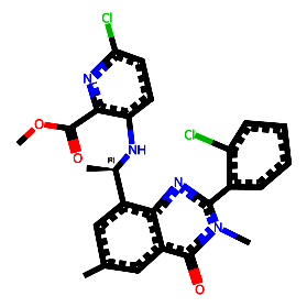 COC(=O)c1nc(Cl)ccc1N[C@H](C)c1cc(C)cc2c(=O)n(C)c(-c3ccccc3Cl)nc12